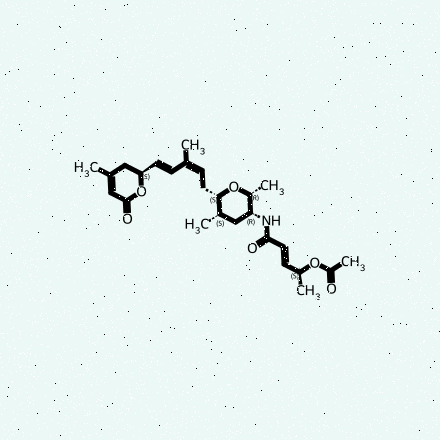 CC(=O)O[C@@H](C)C=CC(=O)N[C@@H]1C[C@H](C)[C@H](CC=C(C)C=C[C@@H]2CC(C)=CC(=O)O2)O[C@@H]1C